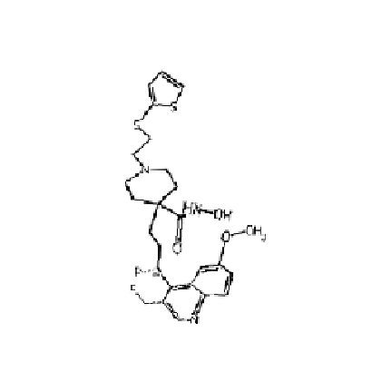 COc1ccc2ncc(CF)c([C@H](F)CCC3(C(=O)NO)CCN(CCSc4cccs4)CC3)c2c1